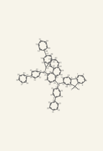 CC1(C)c2ccccc2-c2ccc(N(c3ccc(-c4ccccc4)cc3)c3ccc(N(c4ccc(-c5ccccc5)cc4)C4c5ccc(-c6ccccc6)cc54)c4c3ccc3ccccc34)cc21